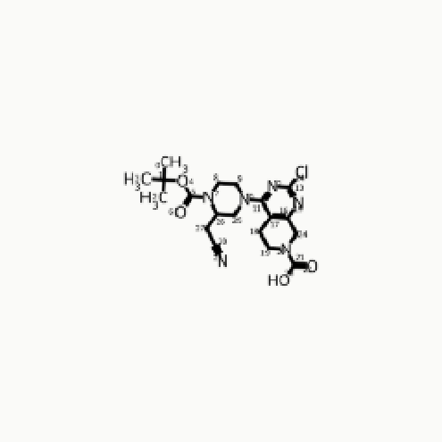 CC(C)(C)OC(=O)N1CCN(c2nc(Cl)nc3c2CCN(C(=O)O)C3)CC1CC#N